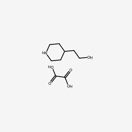 O=C(O)C(=O)O.OCCC1CCNCC1